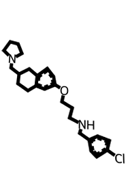 Clc1ccc(CNCCCOc2ccc3c(c2)CCC(CN2CCCC2)C3)cc1